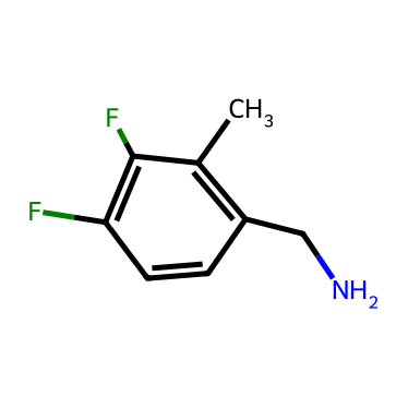 Cc1c(CN)ccc(F)c1F